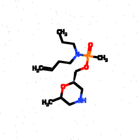 C=CCCN(CCC)P(C)(=O)OC[C@@H]1CNCC(C)O1